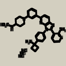 Cl.Cl.Cl.Nc1ncccc1-c1nc2ccc(-c3cccc(N4CCC(NC(=O)O)CC4)c3)nc2n1-c1ccc(C2(N)CCC2)cc1